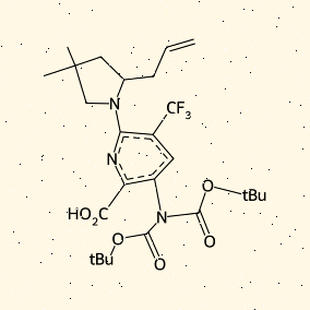 C=CCC1CC(C)(C)CN1c1nc(C(=O)O)c(N(C(=O)OC(C)(C)C)C(=O)OC(C)(C)C)cc1C(F)(F)F